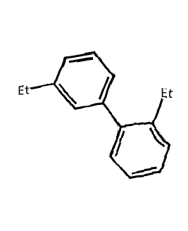 CCc1cccc(-c2ccccc2CC)c1